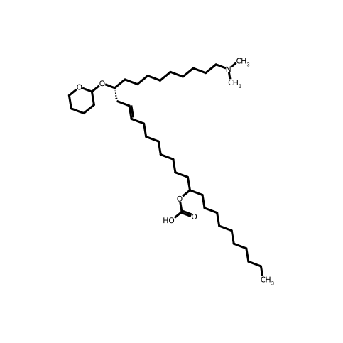 CCCCCCCCCCC(CCCCCCCC=CC[C@@H](CCCCCCCCCN(C)C)OC1CCCCO1)OC(=O)O